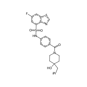 CC(C)CC1(O)CCN(C(=O)c2ccc(NS(=O)(=O)c3cc(F)cc4scnc34)cc2)CC1